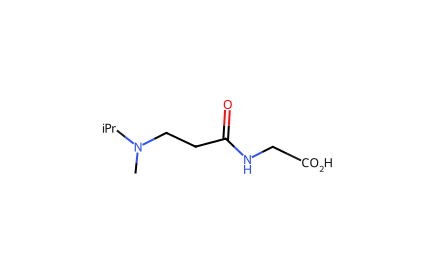 CC(C)N(C)CCC(=O)NCC(=O)O